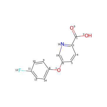 O=C(O)c1ccc(Oc2ccc(F)cc2)cn1